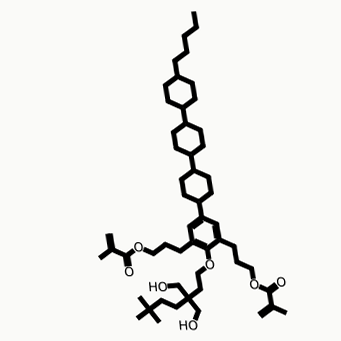 C=C(C)C(=O)OCCCc1cc(C2CCC(C3CCC(C4CCC(CCCCC)CC4)CC3)CC2)cc(CCCOC(=O)C(=C)C)c1OCCC(CO)(CO)CCC(C)(C)C